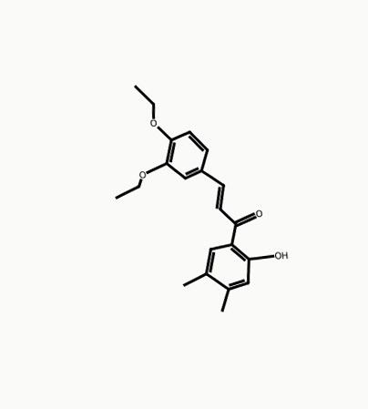 CCOc1ccc(/C=C/C(=O)c2cc(C)c(C)cc2O)cc1OCC